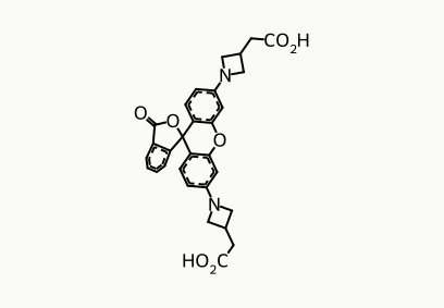 O=C(O)CC1CN(c2ccc3c(c2)Oc2cc(N4CC(CC(=O)O)C4)ccc2C32OC(=O)c3ccccc32)C1